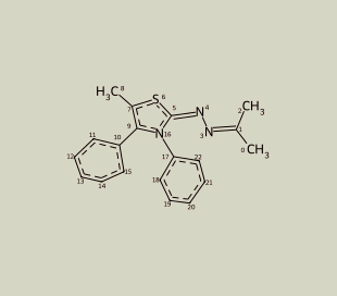 CC(C)=NN=c1sc(C)c(-c2ccccc2)n1-c1ccccc1